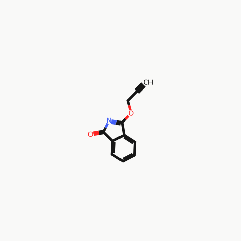 C#CCOC1=NC(=O)c2ccccc21